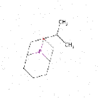 CC(C)CP1C2CCCC1CCC2